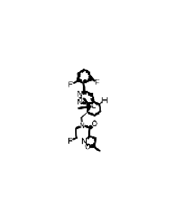 Cc1cc(C(=O)N(CCF)C[C@]23CC[C@H](CC2(C)C)c2cc(-c4c(F)cccc4F)nnc23)no1